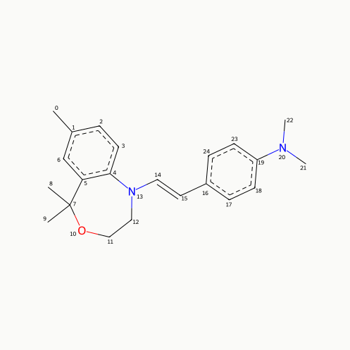 Cc1ccc2c(c1)C(C)(C)OCCN2C=Cc1ccc(N(C)C)cc1